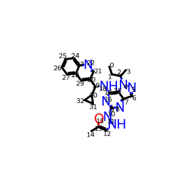 CCC(C)n1ncc2nc(N3NC=C(C)O3)nc(N[C@@H](c3cnc4ccccc4c3)C3CC3)c21